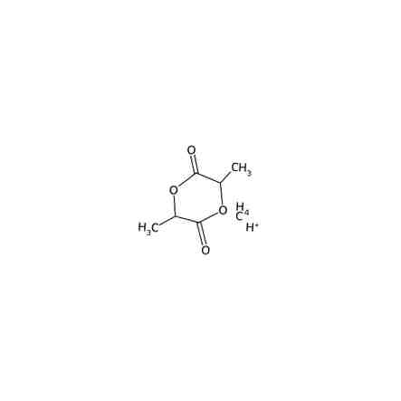 C.CC1OC(=O)C(C)OC1=O.[H+]